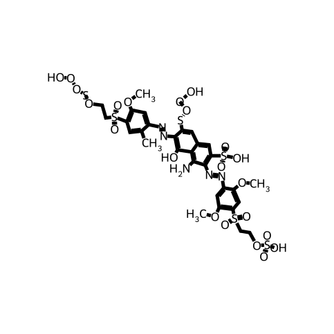 COc1cc(S(=O)(=O)CCOS(=O)(=O)O)c(OC)cc1/N=N/c1c(S(=O)(=O)O)cc2cc(SOOO)c(/N=N/c3cc(OC)c(S(=O)(=O)CCOSOOO)cc3C)c(O)c2c1N